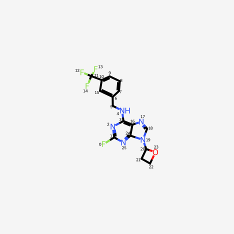 Fc1nc(NCc2cccc(C(F)(F)F)c2)c2ncn(C3CCO3)c2n1